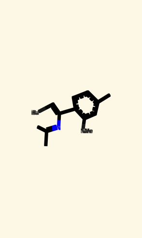 CCC(C)/C=C(\N=C(C)C)c1ccc(C)cc1NC